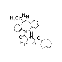 CC(NC(=O)O[C@H]1CC/C=C/CCC1)C(=O)N1Cc2ccccc2-c2nnn(C)c2-c2ccccc21